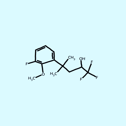 COc1c(F)cccc1C(C)(C)CC(O)C(F)(F)F